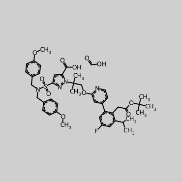 COc1ccc(CN(Cc2ccc(OC)cc2)S(=O)(=O)c2cc(C(=O)O)n(C(C)(C)COc3cc(-c4cc(F)cc(C(C)C)c4CC(=O)OC(C)(C)C)ccn3)n2)cc1.O=CO